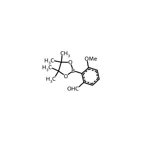 COc1cccc(C=O)c1B1OC(C)(C)C(C)(C)O1